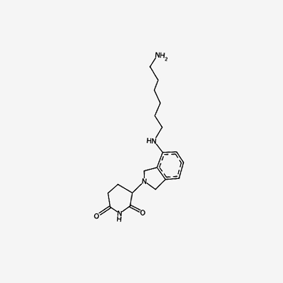 NCCCCCCNc1cccc2c1CN(C1CCC(=O)NC1=O)C2